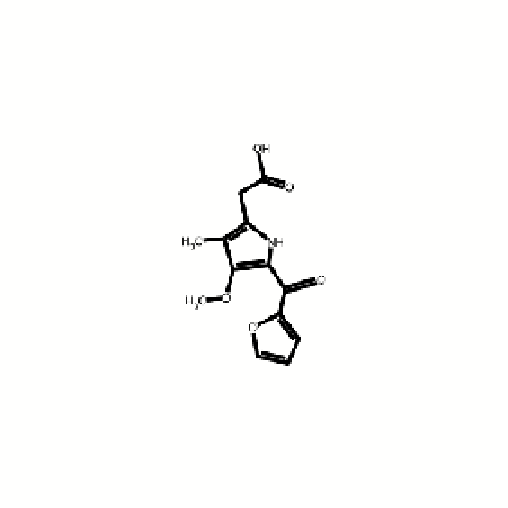 COc1c(C(=O)c2ccco2)[nH]c(CC(=O)O)c1C